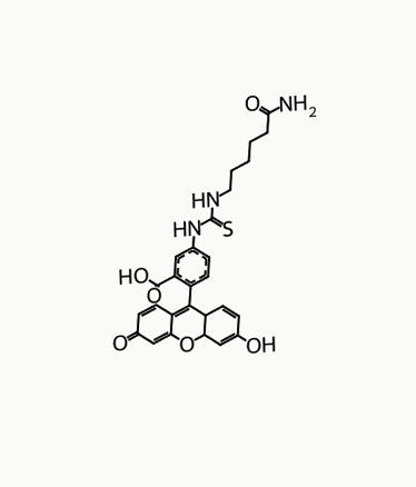 NC(=O)CCCCCNC(=S)Nc1ccc(C2=C3C=CC(=O)C=C3OC3C=C(O)C=CC23)c(C(=O)O)c1